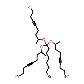 CC(C)CCC#CCCC(C)O[Si](CCCCCCBr)(OC(C)CCC#CCCC(C)C)OC(C)CCC#CCCC(C)C